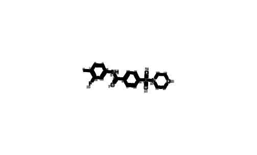 Cc1ccc(NC(=O)c2ccc(S(=O)(=O)N3CCOCC3)cc2)cc1F